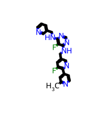 Cc1cc(-c2ncc(CNc3ncnc(NCc4cccnc4)c3F)cc2F)ccn1